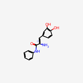 N/C(=C\c1ccc(O)c(O)c1)C(=O)Nc1ccccc1